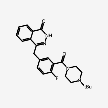 CC(C)(C)N1CCN(C(=O)c2cc(Cc3n[nH]c(=O)c4ccccc34)ccc2F)CC1